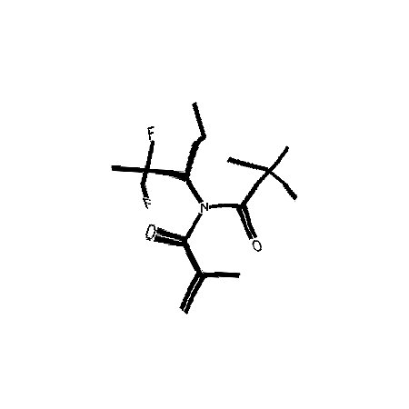 C=C(C)C(=O)N(C(=O)C(C)(C)C)C(CC)C(C)(F)F